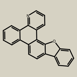 c1ccc2c(c1)oc1c2ccc2c3ccccc3c3ncccc3c21